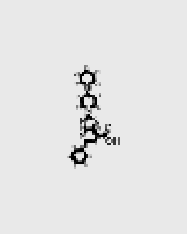 O=C(O)c1cc(-c2ccccc2)nc2nc(N3CCC(N4CCCCC4)CC3)sc12